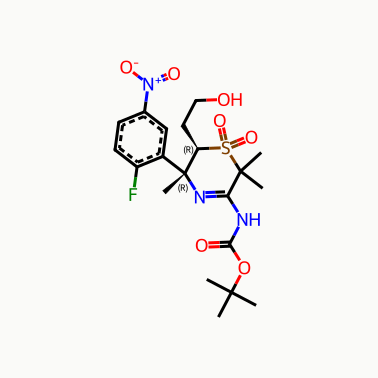 CC(C)(C)OC(=O)NC1=N[C@](C)(c2cc([N+](=O)[O-])ccc2F)[C@@H](CCO)S(=O)(=O)C1(C)C